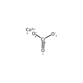 [Co+2].[O]=[Cr]([O-])[O-]